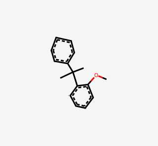 COc1ccc[c]c1C(C)(C)c1ccccc1